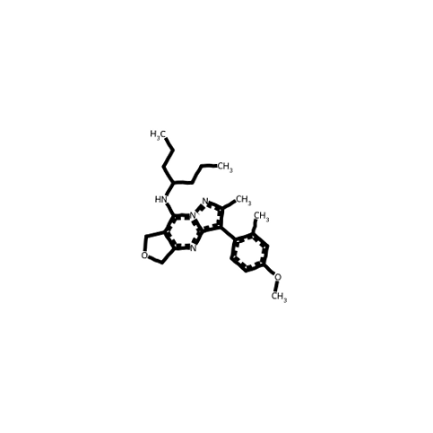 CCCC(CCC)Nc1c2c(nc3c(-c4ccc(OC)cc4C)c(C)nn13)COC2